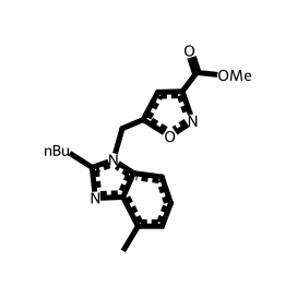 CCCCc1nc2c(C)cccc2n1Cc1cc(C(=O)OC)no1